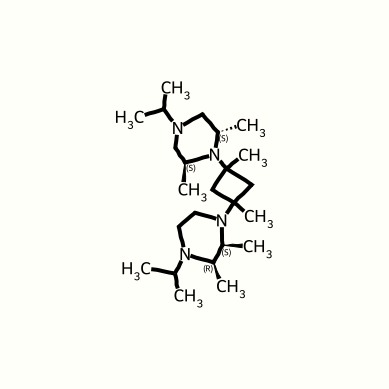 CC(C)N1C[C@H](C)N(C2(C)CC(C)(N3CCN(C(C)C)[C@H](C)[C@@H]3C)C2)[C@@H](C)C1